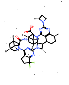 C[C@H]1CCC(C2CN(c3nc(N4C[C@H]5C[C@@H](C4)[C@@H]5CC(N)=O)c4c(n3)C(F)(F)CC4)[C@H]2C)c2c1nc(N1CC[C@@H]1C)nc2N1C[C@H]2C[C@@H](C1)[C@H]2CC(=O)O